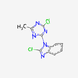 Cc1nc(Cl)nc(-n2c(Cl)nc3ccccc32)n1